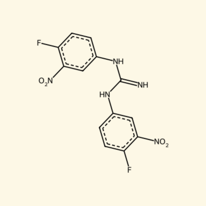 N=C(Nc1ccc(F)c([N+](=O)[O-])c1)Nc1ccc(F)c([N+](=O)[O-])c1